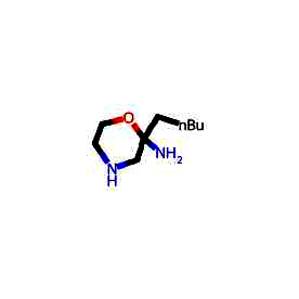 CCCCCC1(N)CNCCO1